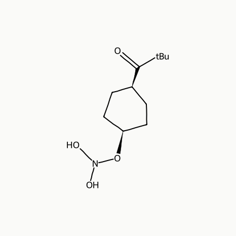 CC(C)(C)C(=O)[C@H]1CC[C@@H](ON(O)O)CC1